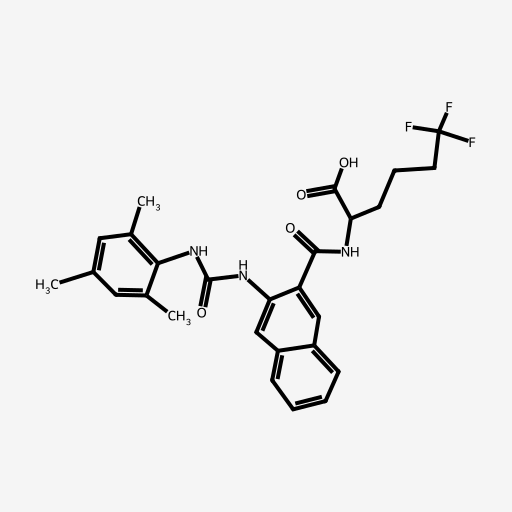 Cc1cc(C)c(NC(=O)Nc2cc3ccccc3cc2C(=O)NC(CCCC(F)(F)F)C(=O)O)c(C)c1